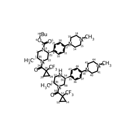 C[C@@H]1CN(C(=O)OC(C)(C)C)[C@@H](c2ccc(N3CCN(C)CC3)cc2)CN1C(=O)C1(C(F)(F)F)CC1.C[C@@H]1CN[C@@H](c2ccc(N3CCN(C)CC3)cc2)CN1C(=O)C1(C(F)(F)F)CC1